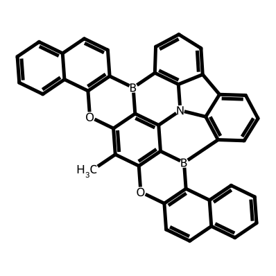 Cc1c2c3c4c5c1Oc1ccc6ccccc6c1B5c1cccc5c6cccc(c6n-4c15)B3c1ccc3ccccc3c1O2